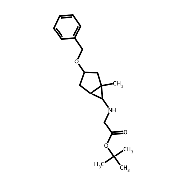 CC(C)(C)OC(=O)CNC1C2CC(OCc3ccccc3)CC21C